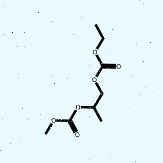 CCOC(=O)OCC(C)OC(=O)OC